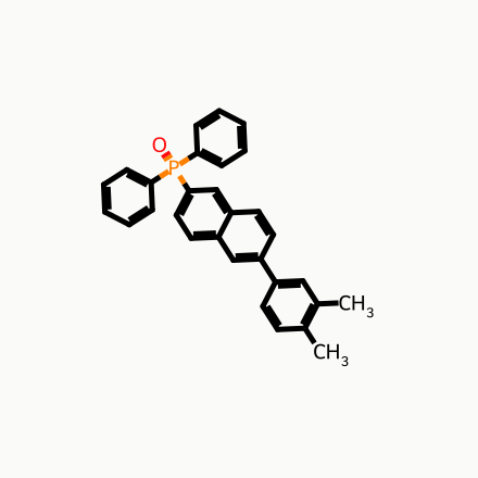 Cc1ccc(-c2ccc3cc(P(=O)(c4ccccc4)c4ccccc4)ccc3c2)cc1C